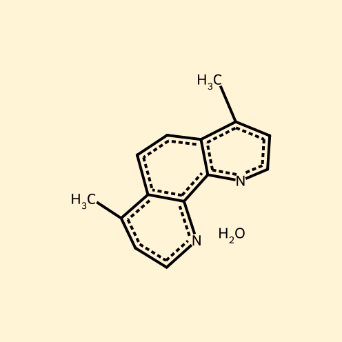 Cc1ccnc2c1ccc1c(C)ccnc12.O